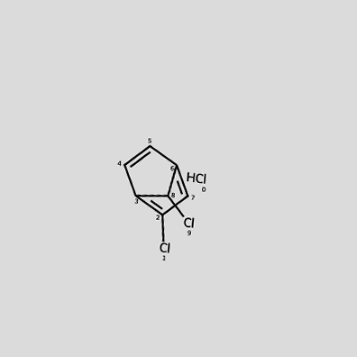 Cl.ClC1=C2C=CC(=C1)C2Cl